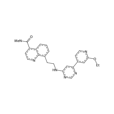 CCOc1cc(-c2cc(NCCc3cccc4c(C(=O)NC)ccnc34)ncn2)ccn1